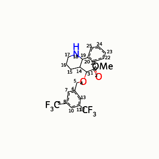 COC(=O)C(OCc1cc(C(F)(F)F)cc(C(F)(F)F)c1)C1CCCNC1c1ccccc1